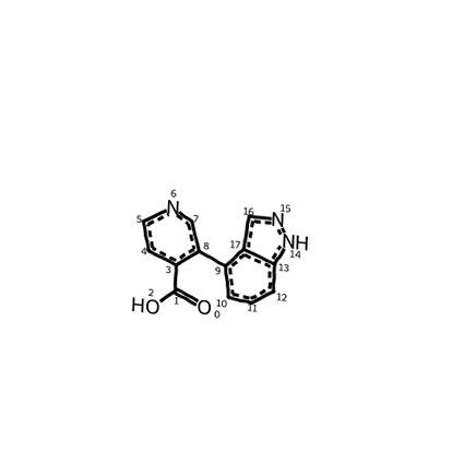 O=C(O)c1ccncc1-c1cccc2[nH]ncc12